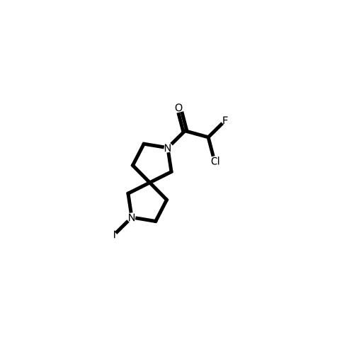 O=C(C(F)Cl)N1CCC2(CCN(I)C2)C1